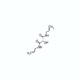 C=CCNC(=O)C(O)C(=O)NCC=C